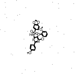 COc1ccc(-c2nc(Cl)c(Oc3ccccc3OC)c(NS(=O)(=O)c3ccc4c(c3)OCO4)n2)cc1